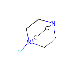 F[N+]12CCN(CC1)CC2